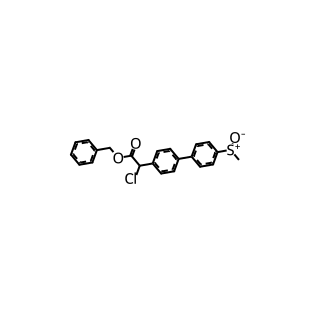 C[S+]([O-])c1ccc(-c2ccc(C(Cl)C(=O)OCc3ccccc3)cc2)cc1